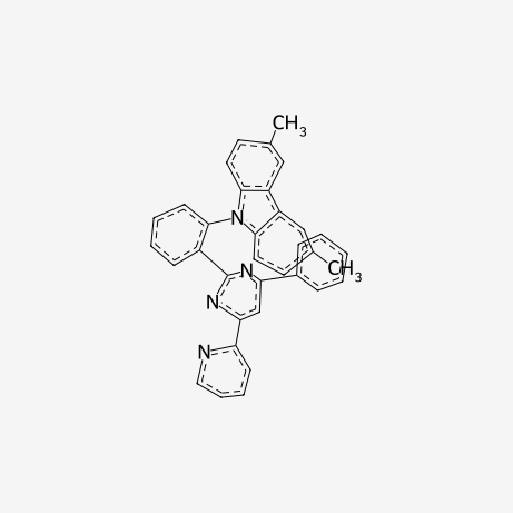 Cc1ccc2c(c1)c1cc(C)ccc1n2-c1ccccc1-c1nc(-c2ccccc2)cc(-c2ccccn2)n1